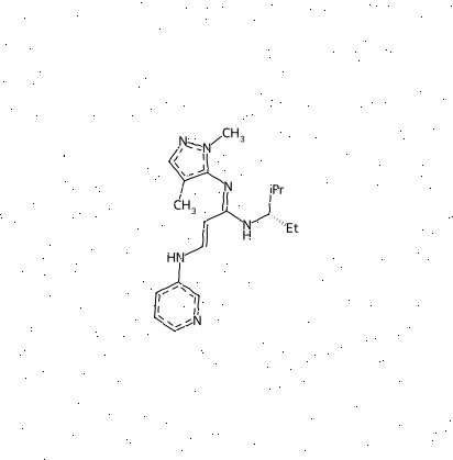 CC[C@H](NC(/C=C/Nc1cccnc1)=N/c1c(C)cnn1C)C(C)C